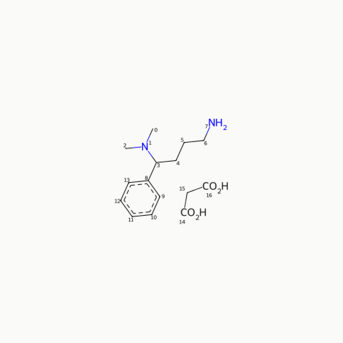 CN(C)C(CCCN)c1ccccc1.O=C(O)CC(=O)O